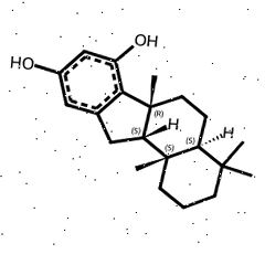 CC1(C)CCC[C@@]2(C)[C@H]1CC[C@@]1(C)c3c(O)cc(O)cc3C[C@@H]21